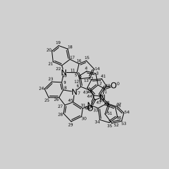 O=C1c2cccc(-n3c4c(-n5c6ccccc6c6ccccc65)cccc4c4cccc(-n5c6ccccc6c6ccccc65)c43)c2C(=O)N1c1ccccc1